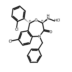 CN[C@@H]1O[C@@H](c2ccccc2Cl)c2cc(Cl)ccc2N(Cc2ccccc2)C1=O.Cl